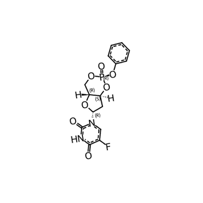 O=c1[nH]c(=O)n([C@H]2C[C@@H]3O[P@](=O)(Oc4ccccc4)OC[C@H]3O2)cc1F